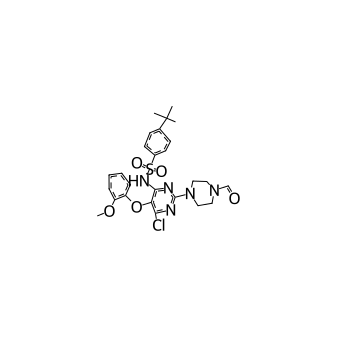 COc1ccccc1Oc1c(Cl)nc(N2CCN(C=O)CC2)nc1NS(=O)(=O)c1ccc(C(C)(C)C)cc1